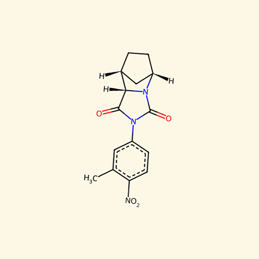 Cc1cc(N2C(=O)[C@@H]3[C@@H]4CC[C@@H](C4)N3C2=O)ccc1[N+](=O)[O-]